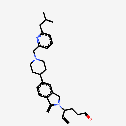 C=CC(CCC=O)N1Cc2cc(C3CCN(Cc4cccc(CC(C)C)n4)CC3)ccc2C1=C